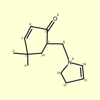 CC1(C)C=CC(=O)C(CN2C=CCC2)C1